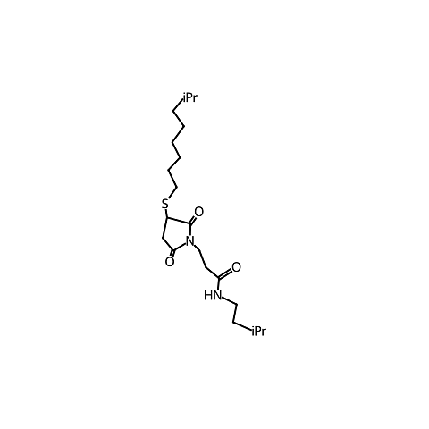 CC(C)CCCCCCSC1CC(=O)N(CCC(=O)NCCC(C)C)C1=O